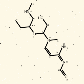 CCC(CNC)OC(CO)N(C)/C=C\C(N)=N/C=O